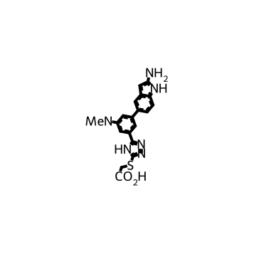 CNc1cc(-c2ccc3[nH]c(N)cc3c2)cc(-c2nnc(SCC(=O)O)[nH]2)c1